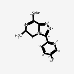 CSC1=NC(C)Cn2c1nnc2-c1ccc(F)cn1